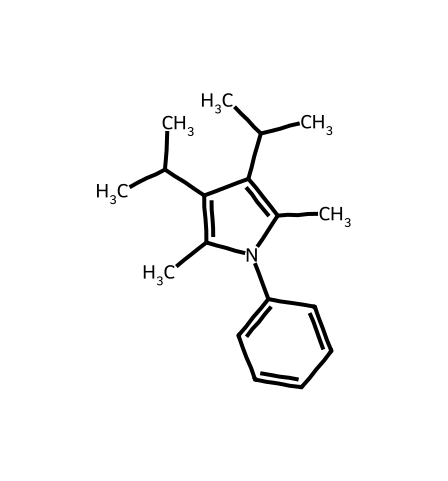 Cc1c(C(C)C)c(C(C)C)c(C)n1-c1ccccc1